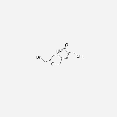 CCc1cc2c([nH]c1=O)CC(CBr)OC2